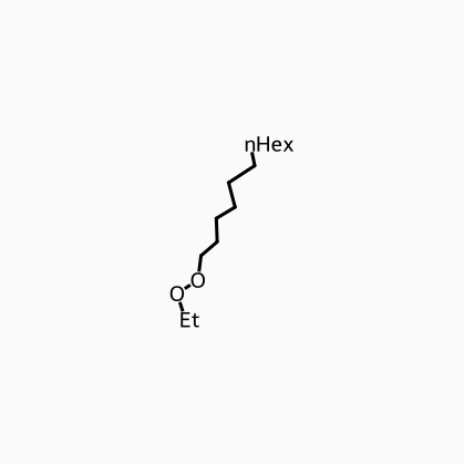 [CH2]COOCCCCCCCCCCCC